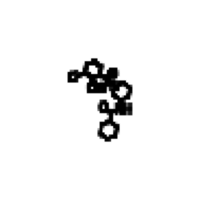 O=C(N[C@H]1CCCN(S(=O)(=O)c2cccc(Cl)c2Cl)C1)C1CCCCC1